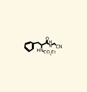 CCOC(=O)NC(Cc1ccccc1)C(=O)NCC#N